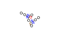 c1ccc(-c2ccc(-c3nc(-c4cccc(-c5nc(-c6ccc(-c7ccccc7)cc6)nc6c5sc5ccccc56)c4)c4oc5ccccc5c4n3)cc2)cc1